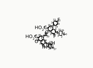 CN1CCN(c2cc3c(cc2F)c(=O)c(C(=O)O)cn3-c2ccc(F)cc2)CC1.CN1C[C@@H]2C[C@H]1CN2c1cc2c(cc1F)c(=O)c(C(=O)O)cn2C1CC1